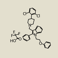 Clc1cccc(Cl)c1C1CCN(Cc2c(-c3ccccc3)n(CCOc3ccccc3)c3ccccc23)CC1.O=C(O)C(F)(F)F